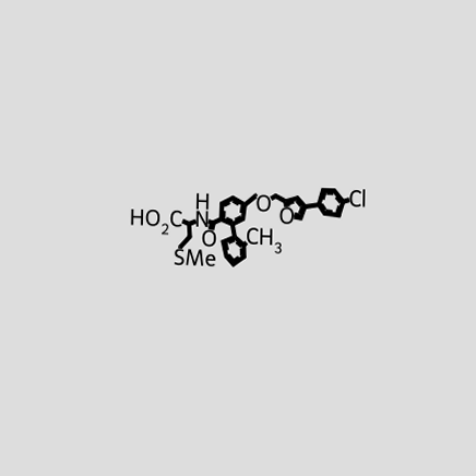 CSCCC(NC(=O)c1ccc(COCc2cc(-c3ccc(Cl)cc3)co2)cc1-c1ccccc1C)C(=O)O